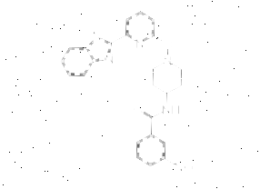 O=C(NC1CCN(Oc2cccc(-c3nc4ccccc4[nH]3)n2)CC1)c1cccc([N+](=O)[O-])c1